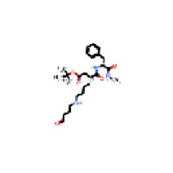 CNC(=O)[C@H](Cc1ccccc1)NC(=O)[C@H](CCCCNCCCC=O)CC(=O)OC(C)(C)C